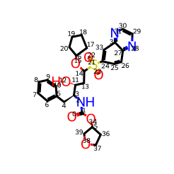 O=C(N[C@@H](Cc1ccccc1)[C@H](O)CC(OC1CCCC1)S(=O)(=O)c1ccc2nccnc2c1)O[C@H]1CCOC1